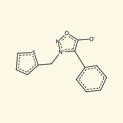 [O-]c1on[n+](Cc2cccs2)c1-c1ccccc1